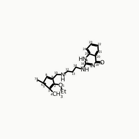 CCOc1c(C)cc(I)cc1CNCCCNc1nc(=O)c2ccccc2[nH]1